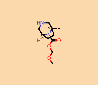 COCOC(=O)N1[C@H]2CC[C@H]1CNC2